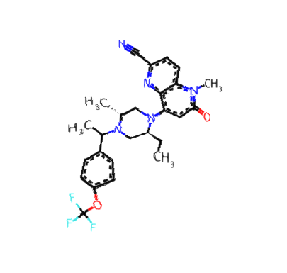 CC[C@H]1CN(C(C)c2ccc(OC(F)(F)F)cc2)[C@H](C)CN1c1cc(=O)n(C)c2ccc(C#N)nc12